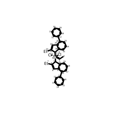 C[CH]=[Zr]([Cl])([Cl])([CH]1C(CC)=Cc2c(-c3ccccc3)cccc21)[CH]1C(CC)=Cc2c(-c3ccccc3)cccc21